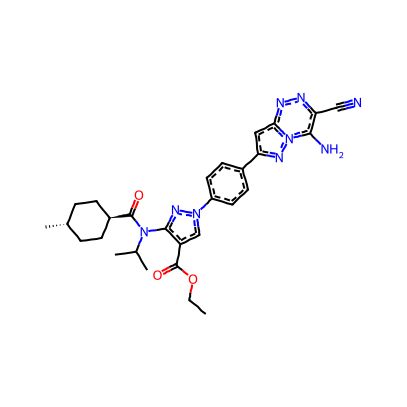 CCOC(=O)c1cn(-c2ccc(-c3cc4nnc(C#N)c(N)n4n3)cc2)nc1N(C(=O)[C@H]1CC[C@H](C)CC1)C(C)C